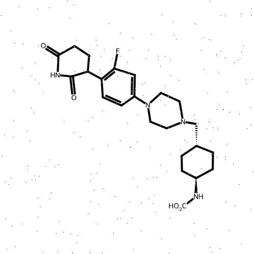 O=C1CCC(c2ccc(N3CCN(C[C@H]4CC[C@H](NC(=O)O)CC4)CC3)cc2F)C(=O)N1